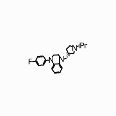 CC(C)N1CC[C@@H](CN2CCN(c3ccc(F)cc3)c3ccccc32)C1